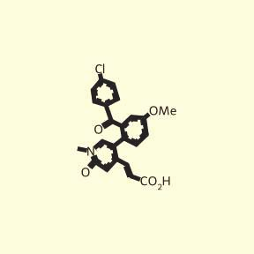 COc1ccc(-c2cn(C)c(=O)cc2/C=C/C(=O)O)c(C(=O)c2ccc(Cl)cc2)c1